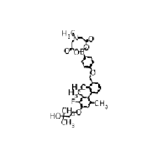 Cc1cc(OCCC(C)(C)O)c(F)c(C)c1-c1cccc(COc2ccc(B3OC(=O)CN(C)CC(=O)O3)cc2)c1C